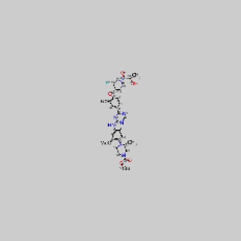 COc1cc(Nc2ncnc(-c3ccc(O[C@H]4CCN(C(=O)C(C)O)C[C@H]4F)c(C#N)c3)n2)ccc1N1CCN(C(=O)OC(C)(C)C)CC1C